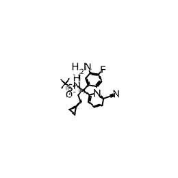 CC(C)(C)[S@@+]([O-])N[C@](CCC1CC1)(c1ccc(F)c(N)c1)c1cccc(C#N)n1